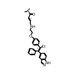 CC/C(=C(/c1ccccc1)c1ccc2[nH]ncc2c1)c1ccc(OCCNC/C=C/C(=O)N(C)C)cc1